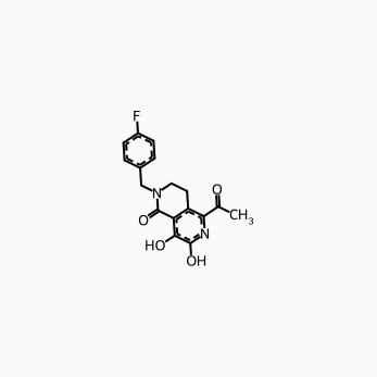 CC(=O)c1nc(O)c(O)c2c1CCN(Cc1ccc(F)cc1)C2=O